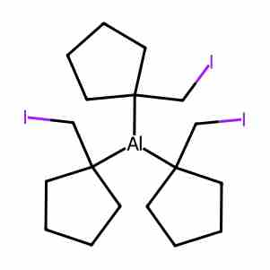 IC[C]1([Al]([C]2(CI)CCCC2)[C]2(CI)CCCC2)CCCC1